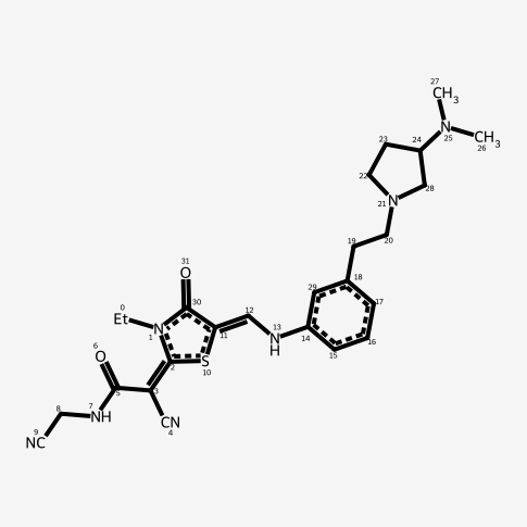 CCn1c(=C(C#N)C(=O)NCC#N)sc(=CNc2cccc(CCN3CCC(N(C)C)C3)c2)c1=O